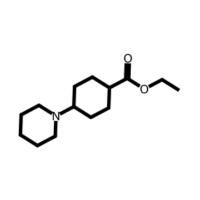 CCOC(=O)C1CCC(N2CCCCC2)CC1